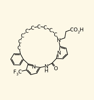 O=C(O)CCN1CCCCCCCCCc2ccccc2-c2nc(ccc2C(F)(F)F)NC(=O)c2cccc1n2